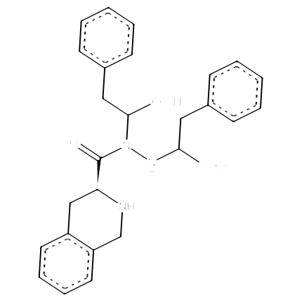 O=C(O)C(Cc1ccccc1)NN(C(=O)[C@@H]1Cc2ccccc2CN1)C(Cc1ccccc1)C(=O)O